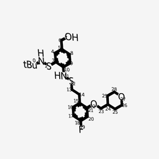 CC(C)(C)NSc1cc(CO)ccc1NSCCc1ccc(F)cc1OCC1CCOCC1